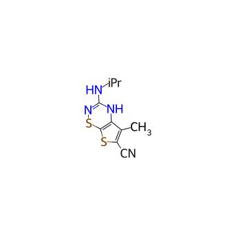 Cc1c(C#N)sc2c1NC(NC(C)C)=NS2